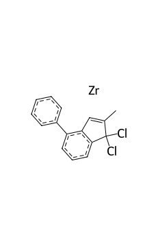 CC1=Cc2c(-c3ccccc3)cccc2C1(Cl)Cl.[Zr]